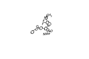 CNC(=O)N1Cc2cc(C3=CCN(C(=O)OCc4ccccc4)CC3)cc(N3CCCc4cc(-c5cnn(C)c5)c(C(F)F)cc43)c2C1